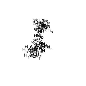 C[C@@H](C(=O)N[C@H]1CCS[C@H]2CC(C)(C)[C@@H](C(=O)N[C@H](CCC(=O)NCCNC(=O)CC[C@@H](NC(=O)[C@H]3N4C(=O)[C@@H](N)CCS[C@H]4CC3(C)C)c3ccccc3)c3ccccc3)N2C1=O)N(C)C(=O)OC(C)(C)C